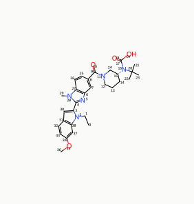 CCn1c(-c2nc3cc(C(=O)N4CCC[C@@H](N(C(=O)O)C(C)(C)C)C4)ccc3n2C)cc2ccc(OC)cc21